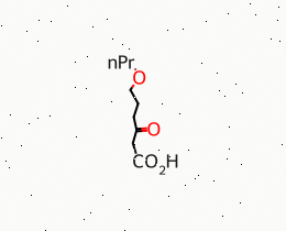 CCCOCCCC(=O)CC(=O)O